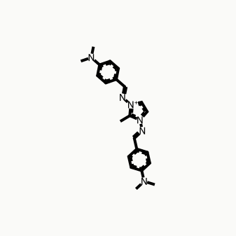 Cc1n(N=Cc2ccc(N(C)C)cc2)cc[n+]1N=Cc1ccc(N(C)C)cc1